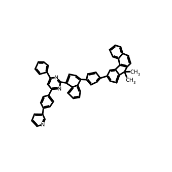 CC1(C)c2ccc(-c3ccc(-c4ccc(-c5nc(-c6ccccc6)cc(-c6ccc(-c7cccnc7)cc6)n5)c5ccccc45)cc3)cc2-c2c1ccc1ccccc21